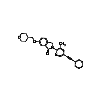 Cc1cc(C#Cc2ccccc2)cnc1N1Cc2ccc(OCC3CCOCC3)cc2C1=O